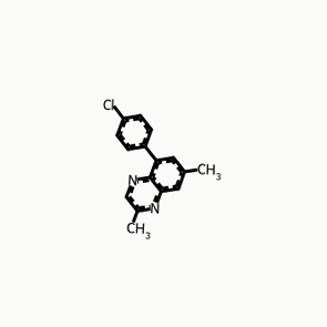 Cc1cc(-c2ccc(Cl)cc2)c2ncc(C)nc2c1